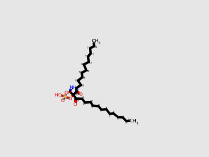 CCCCCCCCCCCCCC(=O)C(CN)(OP(=O)(O)O)C(=O)CCCCCCCCCCCCC